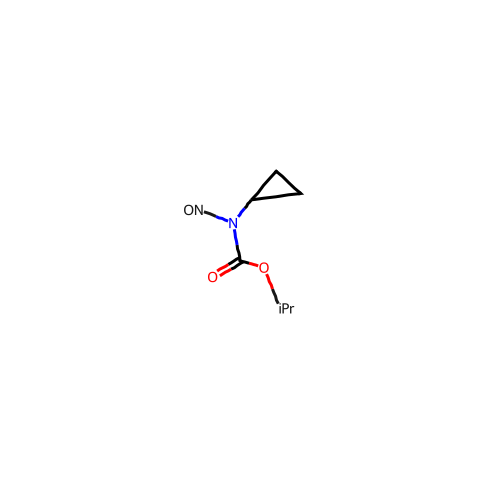 CC(C)OC(=O)N(N=O)C1CC1